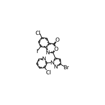 O=c1oc(-c2cc(Br)nn2-c2ncccc2Cl)nc2c(I)cc(Cl)cc12